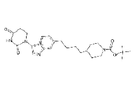 CC(C)(C)OC(=O)N1CCC(CCCCc2ccn3c(N4CCC(=O)NC4=O)cnc3c2)CC1